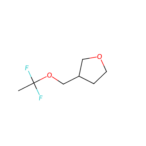 CC(F)(F)OCC1CCOC1